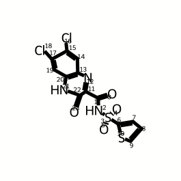 O=C(NS(=O)(=O)c1cccs1)c1nc2cc(Cl)c(Cl)cc2[nH]c1=O